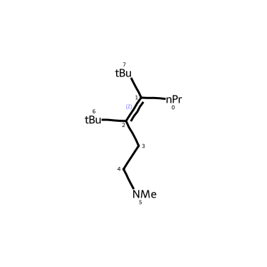 CCC/C(=C(\CCNC)C(C)(C)C)C(C)(C)C